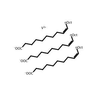 CCCCCCCC/C=C\CCCCCCCC(=O)[O-].CCCCCCCC/C=C\CCCCCCCC(=O)[O-].CCCCCCCC/C=C\CCCCCCCC(=O)[O-].[V+3]